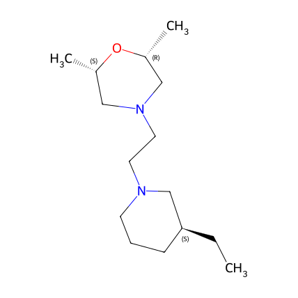 CC[C@H]1CCCN(CCN2C[C@@H](C)O[C@@H](C)C2)C1